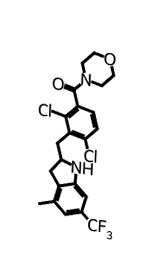 Cc1cc(C(F)(F)F)cc2c1CC(Cc1c(Cl)ccc(C(=O)N3CCOCC3)c1Cl)N2